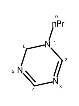 CCCN1C=NC=NC1